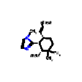 CCCCCCCC=C[C@@H]1CCC(C)(C)[C@H](OC)[C@H]1c1nccn1C